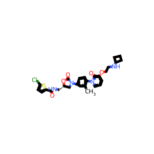 Cc1cc(N2C[C@H](CNC(=O)c3ccc(Cl)s3)OC2=O)ccc1-n1cccc(OCCNC2CCC2)c1=O